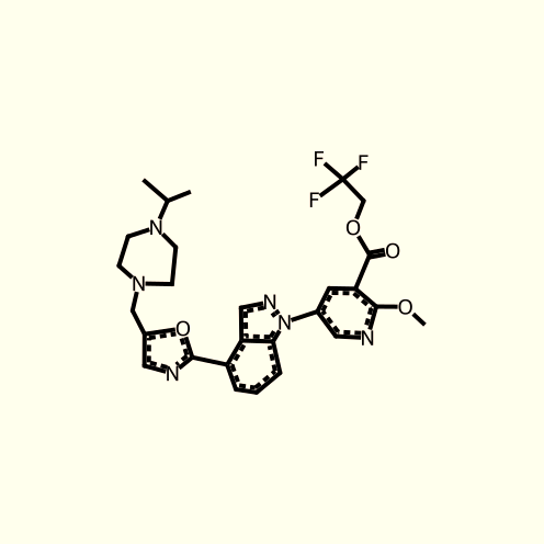 COc1ncc(-n2ncc3c(-c4ncc(CN5CCN(C(C)C)CC5)o4)cccc32)cc1C(=O)OCC(F)(F)F